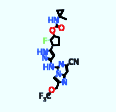 CC1(NC(=O)O[C@H]2CC[C@@H](c3cc(Nc4nc(C#N)cc5nc(COC(F)(F)F)cn45)n[nH]3)[C@@H]2F)CC1